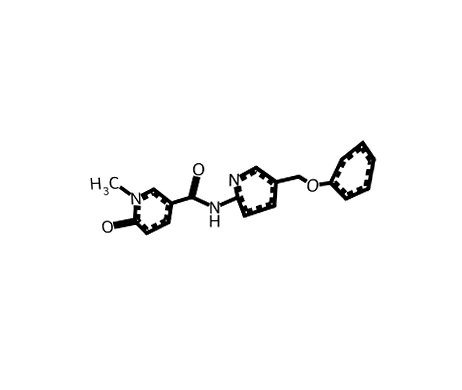 Cn1cc(C(=O)Nc2ccc(COc3ccccc3)cn2)ccc1=O